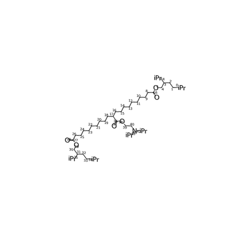 CC(C)CCC(COC(=O)CCCCCCCCCC(CCCCCCCCCC(=O)OCC(CCC(C)C)C(C)C)C(=O)OCCN(C(C)C)C(C)C)C(C)C